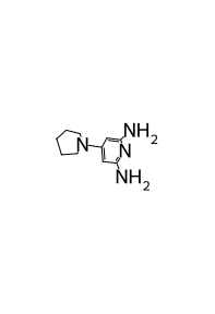 Nc1cc(N2CCCCC2)cc(N)n1